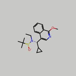 CCN([C@H](c1cnc(OC)c2ccccc12)C1CC1)[S@@+]([O-])C(C)(C)C